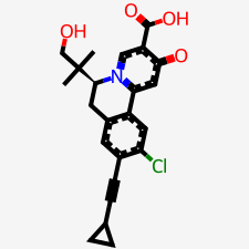 CC(C)(CO)[C@@H]1Cc2cc(C#CC3CC3)c(Cl)cc2-c2cc(=O)c(C(=O)O)cn21